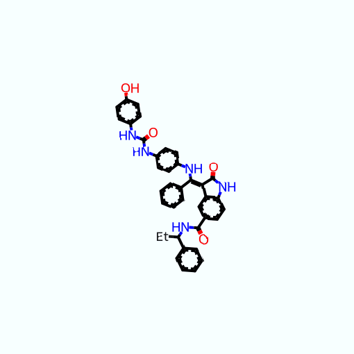 CCC(NC(=O)c1ccc2c(c1)/C(=C(/Nc1ccc(NC(=O)Nc3ccc(O)cc3)cc1)c1ccccc1)C(=O)N2)c1ccccc1